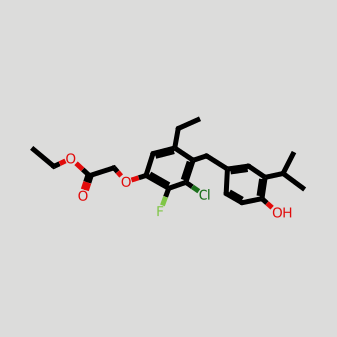 CCOC(=O)COc1cc(CC)c(Cc2ccc(O)c(C(C)C)c2)c(Cl)c1F